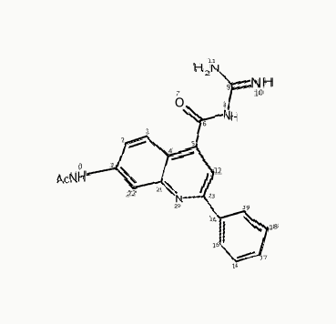 CC(=O)Nc1ccc2c(C(=O)NC(=N)N)cc(-c3ccccc3)nc2c1